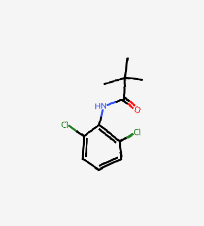 CC(C)(C)C(=O)Nc1c(Cl)cccc1Cl